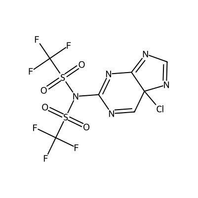 O=S(=O)(N(C1=NC2=NC=NC2(Cl)C=N1)S(=O)(=O)C(F)(F)F)C(F)(F)F